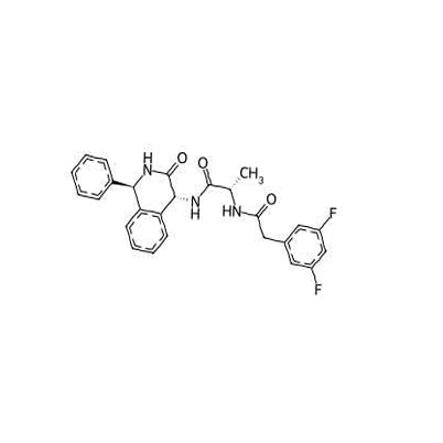 C[C@H](NC(=O)Cc1cc(F)cc(F)c1)C(=O)N[C@H]1C(=O)N[C@H](c2ccccc2)c2ccccc21